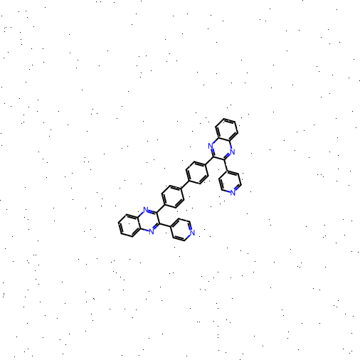 c1ccc2nc(-c3ccc(-c4ccc(-c5nc6ccccc6nc5-c5ccncc5)cc4)cc3)c(-c3ccncc3)nc2c1